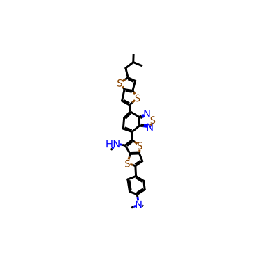 CNc1c(-c2ccc(-c3cc4sc(CC(C)C)cc4s3)c3nsnc23)sc2cc(-c3ccc(N(C)C)cc3)sc12